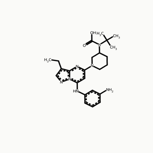 CCc1cnn2c(Nc3cccc(N)c3)cc(N3CCCC(N(C(=O)O)C(C)(C)C)C3)nc12